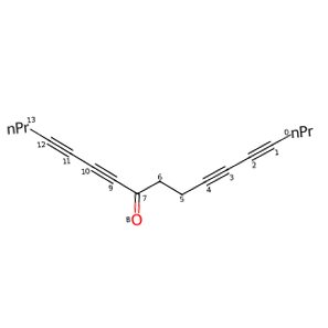 CCCC#CC#CCCC(=O)C#CC#CCCC